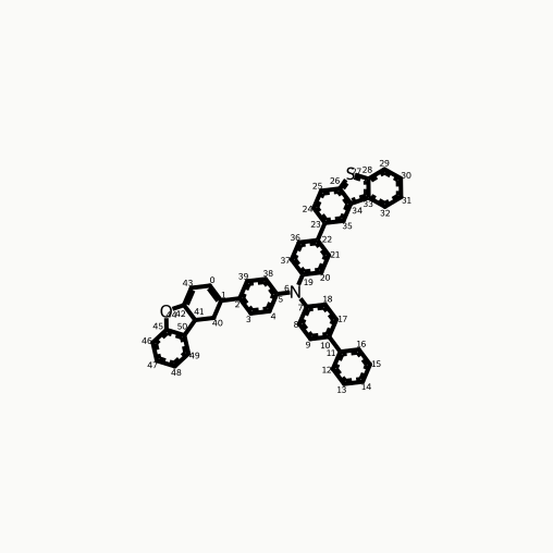 C1=C(c2ccc(N(c3ccc(-c4ccccc4)cc3)c3ccc(-c4ccc5sc6ccccc6c5c4)cc3)cc2)CC2C(=C1)Oc1ccccc12